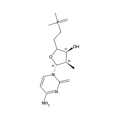 C=C1N=C(N)C=CN1[C@@H]1OC(CCP(=C)(C)C)[C@@H](O)[C@H]1C